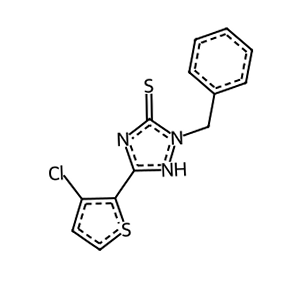 S=c1nc(-c2sccc2Cl)[nH]n1Cc1ccccc1